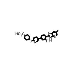 Cc1cnc2[nH]c(-c3ccc(-c4ccc(OC5CCC(C(=O)O)CC5)nc4)cc3F)nc2c1